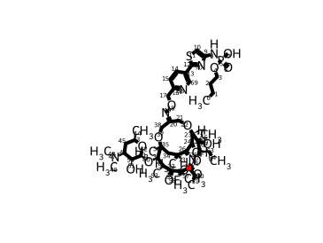 CCCCOP(=O)(O)Nc1csc(-c2ccc(CO/N=C3\CO[C@@H]4[C@@H](C)/C(=N/C(=O)CC)[C@H](C)C[C@@](C)(OC3)[C@H](O[C@@H]3O[C@H](C)C[C@H](N(C)C)[C@H]3O)[C@@H](C)C(=O)[C@](C)(F)C(=O)O[C@H](CC)[C@@]4(C)O)nc2)n1